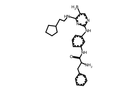 Bc1cnc(Nc2cccc(NC(=O)C(N)Cc3ccccc3)c2)nc1NCCC1CCCC1